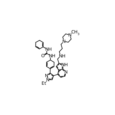 CCn1cc(-c2ccnc3[nH]c(CNCCCN4CCN(C)CC4)cc23)c(C2=CCC(NC(=O)NC3=CCCC=C3)C=C2)n1